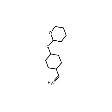 C=CC1CCC(OC2CCCCO2)CC1